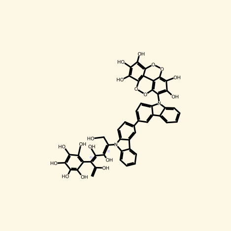 C=C(O)/C(=C(O)\C(O)=C(/CO)n1c2ccccc2c2cc(-c3ccc4c(c3)c3ccccc3n4-c3c(O)c(O)c4ooc5c(O)c(O)c(O)c6ooc3c4-c56)ccc21)c1c(O)c(O)c(O)c(O)c1O